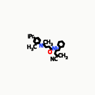 C=C(C#N)CC(CC1CCCCC1)NC(=O)CC/C(C)=N/c1ccc(C(C)C)cc1C